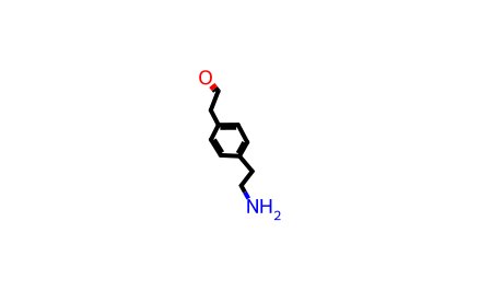 NCCc1ccc(CC=O)cc1